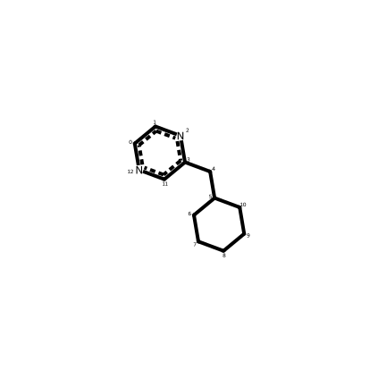 c1cnc(CC2CCCCC2)cn1